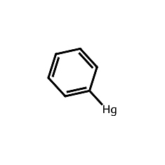 [Hg][c]1ccccc1